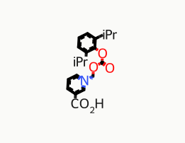 CC(C)c1cccc(C(C)C)c1OC(=O)OC[n+]1cccc(C(=O)O)c1